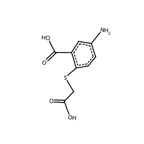 Nc1ccc(SCC(=O)O)c(C(=O)O)c1